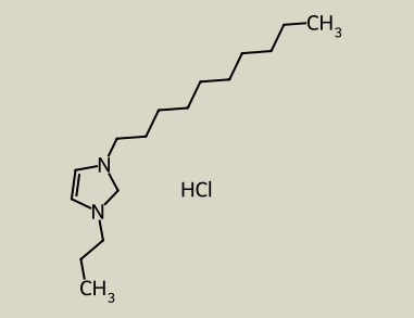 CCCCCCCCCCN1C=CN(CCC)C1.Cl